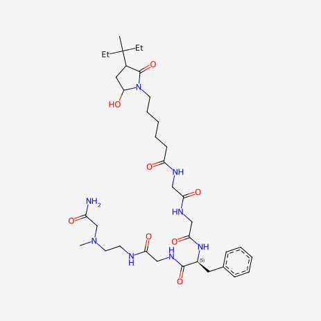 CCC(C)(CC)C1CC(O)N(CCCCCC(=O)NCC(=O)NCC(=O)N[C@@H](Cc2ccccc2)C(=O)NCC(=O)NCCN(C)CC(N)=O)C1=O